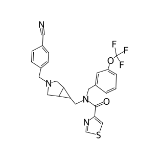 N#Cc1ccc(CN2CC3C(C2)C3CN(Cc2cccc(OC(F)(F)F)c2)C(=O)c2cscn2)cc1